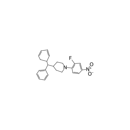 O=[N+]([O-])c1ccc(N2CCC(C(c3ccccc3)C3C=CC=CC3)CC2)c(F)c1